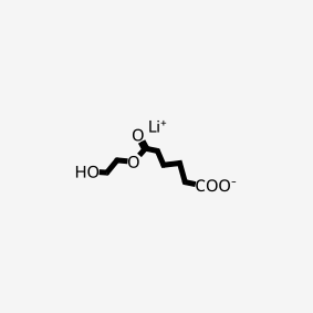 O=C([O-])CCCCC(=O)OCCO.[Li+]